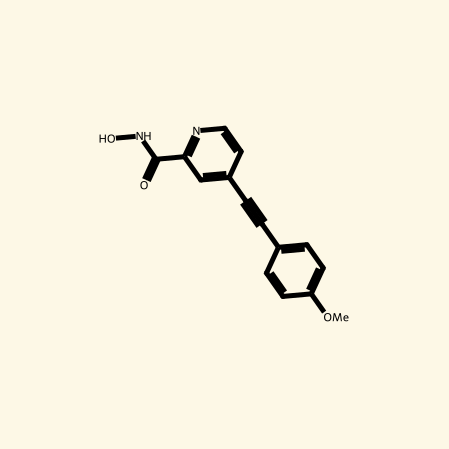 COc1ccc(C#Cc2ccnc(C(=O)NO)c2)cc1